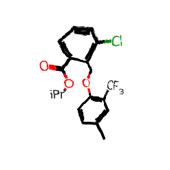 Cc1ccc(OCc2c(Cl)cccc2C(=O)OC(C)C)c(C(F)(F)F)c1